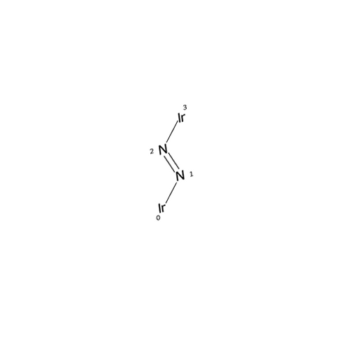 [Ir][N]=[N][Ir]